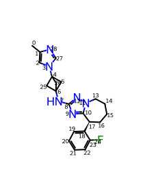 Cc1cn(C23CC(Nc4nc5n(n4)CCCC[C@H]5c4ccccc4F)(C2)C3)cn1